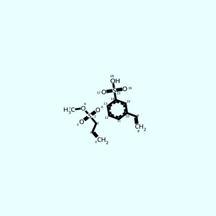 C=CCS(=O)(=O)OC.C=Cc1cccc(S(=O)(=O)O)c1